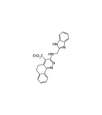 CCOC(=O)c1c(NCc2nc3ccccc3[nH]2)nnc2c1CCc1ccccc1-2